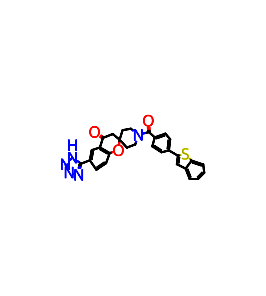 O=C1CC2(CCN(C(=O)c3ccc(-c4cc5ccccc5s4)cc3)CC2)Oc2ccc(-c3nnn[nH]3)cc21